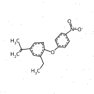 C=C(C)c1ccc(Oc2ccc([N+](=O)[O-])cc2)c(CC)c1